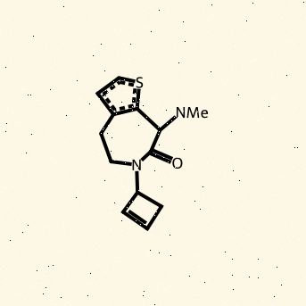 CNC1C(=O)N(C2C=CC2)CCc2ccsc21